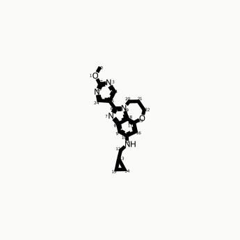 COc1ncc(-c2nc3cc(NCC4CC4)cc4c3n2CCCO4)cn1